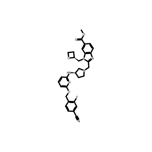 COC(=O)c1ccc2nc(CN3CC[C@@H](Nc4cccc(OCc5ccc(C#N)cc5F)n4)C3)n(C[C@@H]3CCO3)c2c1